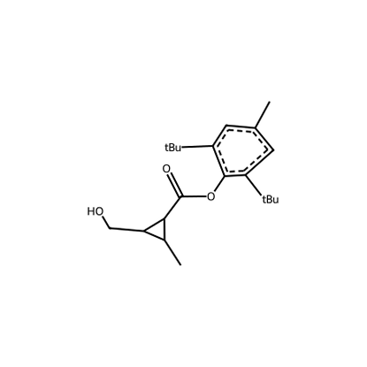 Cc1cc(C(C)(C)C)c(OC(=O)C2C(C)C2CO)c(C(C)(C)C)c1